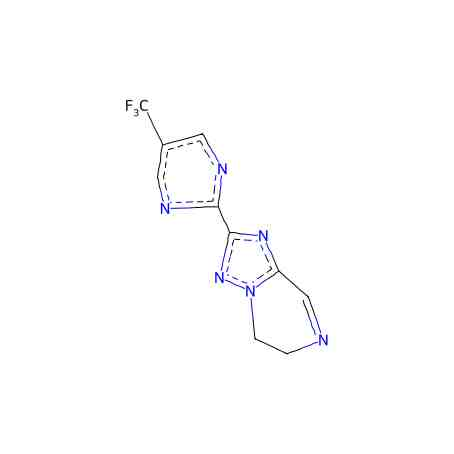 FC(F)(F)c1cnc(-c2nc3n(n2)CCN=C3)nc1